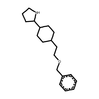 c1ccc(COCCC2CCC(C3CCCN3)CC2)cc1